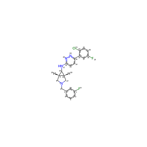 Fc1cccc(CN2C[C@@H]3C(Nc4ccc(-c5cc(F)ccc5Cl)nn4)[C@@H]3C2)c1